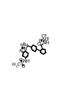 CCCCc1nc2cc(NS(C)(=O)=O)ccc2n1Cc1ccc(-c2ccccc2C(=O)NS(=O)(=O)C(F)(F)F)cc1